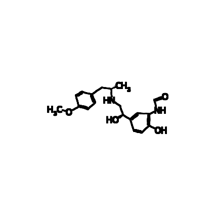 COc1ccc(C[C@H](C)NC[C@H](O)c2ccc(O)c(NC=O)c2)cc1